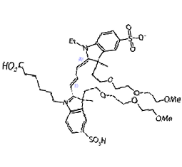 CCN1/C(=C/C=C/C2=[N+](CCCCCC(=O)O)c3ccc(S(=O)(=O)O)cc3C2(C)CCOCCOCCOC)C(C)(CCOCCOCCOC)c2cc(S(=O)(=O)[O-])ccc21